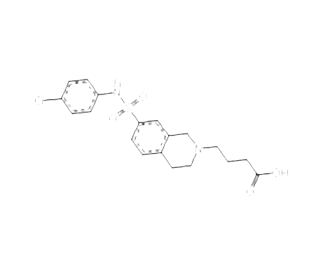 O=C(O)CCCN1CCc2ccc(S(=O)(=O)Nc3ccc(Cl)cc3)cc2C1